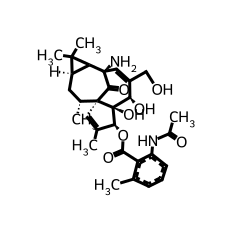 CC(=O)Nc1cccc(C)c1C(=O)O[C@H]1C(C)=C[C@]23C(=O)[C@@](N)(C=C(CO)[C@@H](O)[C@]12O)C1[C@@H](C[C@H]3C)C1(C)C